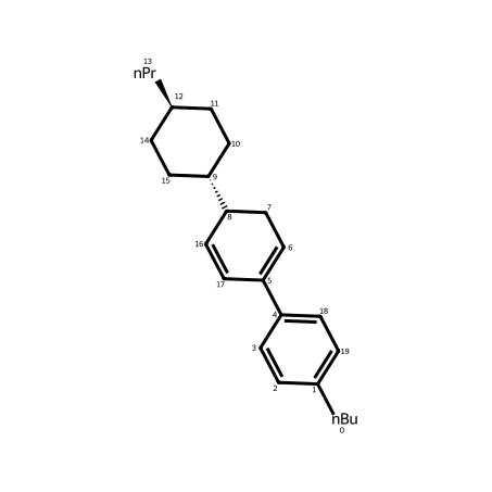 CCCCc1ccc(C2=CCC([C@H]3CC[C@H](CCC)CC3)C=C2)cc1